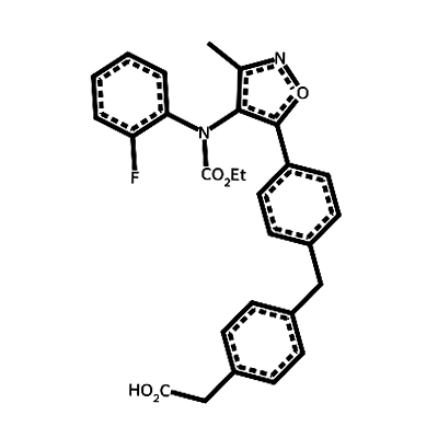 CCOC(=O)N(c1ccccc1F)c1c(C)noc1-c1ccc(Cc2ccc(CC(=O)O)cc2)cc1